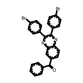 O=C(c1ccccc1)c1ccc2nc(-c3ccc(Br)cc3)c(-c3ccc(Br)cc3)nc2c1